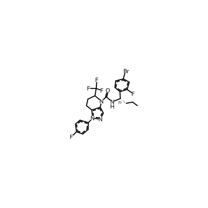 CCC[C@H](NC(=O)N1c2cnn(-c3ccc(F)cc3)c2CCC1C(F)(F)F)c1ccc(Br)cc1F